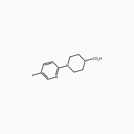 O=C(O)N1CCN(c2ccc(I)cn2)CC1